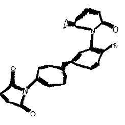 CCCc1ccc(-c2ccc(N3C(=O)C=CC3=O)cc2)cc1N1C(=O)C=CC1=O